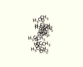 CCC(C)(C)C(CC(C)C)C(=O)OCCOC(C)(C)CCOC(C)(C)C(C)(C)CC(C)OC(C)(C)C(C)(C)CCOC(C)C